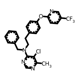 Cc1ncnc(N(CCc2ccc(Oc3ccc(C(F)(F)F)cn3)cc2)Cc2ccccc2)c1Cl